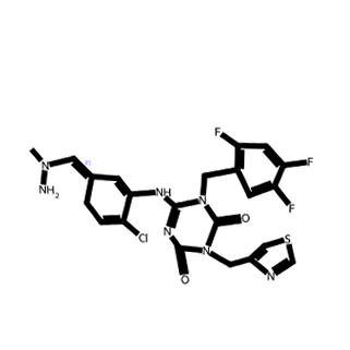 CN(N)/C=C1/C=C(Nc2nc(=O)n(Cc3cscn3)c(=O)n2Cc2cc(F)c(F)cc2F)C(Cl)=CC1